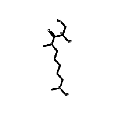 CC(=O)C[C@H](C(=O)N(C)CCCCCN(C)C(C)C)C(C)C